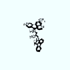 ON=C1c2ccccc2-c2cccc(OC[C@@H](O)CNC(c3ccnc4cc(C(F)(F)F)ccc34)C3CCNCC3)c21